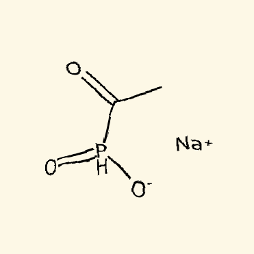 CC(=O)[PH](=O)[O-].[Na+]